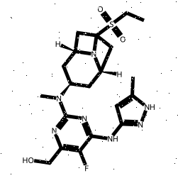 CCS(=O)(=O)C12C[C@H]3C[C@H](N(C)c4nc(CO)c(F)c(Nc5cc(C)[nH]n5)n4)C[C@@H](C1)N32